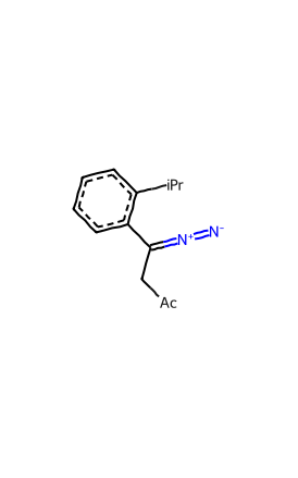 CC(=O)CC(=[N+]=[N-])c1ccccc1C(C)C